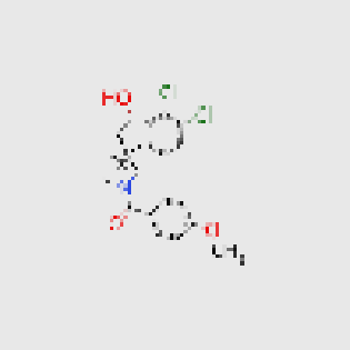 COc1ccc(C(=O)N2CC[C@](CCO)(c3ccc(Cl)c(Cl)c3)C2)cc1